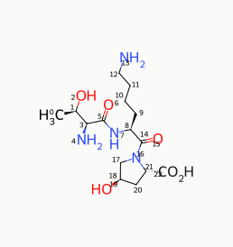 C[C@@H](O)[C@H](N)C(=O)N[C@@H](CCCCN)C(=O)N1C[C@H](O)C[C@H]1C(=O)O